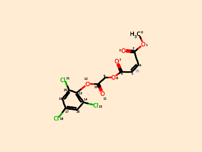 COC(=O)/C=C\C(=O)OCC(=O)Oc1c(Cl)cc(Cl)cc1Cl